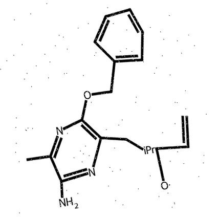 C=CC[O].Cc1nc(OCc2ccccc2)c(CC(C)C)nc1N